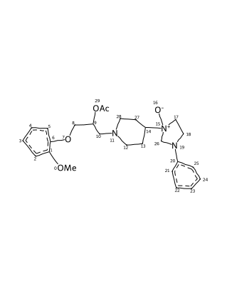 COc1ccccc1OCC(CN1CCC([N+]2([O-])CCN(c3ccccc3)C2)CC1)OC(C)=O